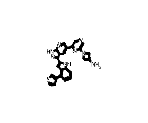 NC1CN(c2cncc(-c3cnc4[nH]nc(-c5cc6c(-c7ccsc7)cccc6[nH]5)c4c3)n2)C1